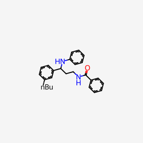 CCCCc1cccc(C(CCNC(=O)c2ccccc2)Nc2ccccc2)c1